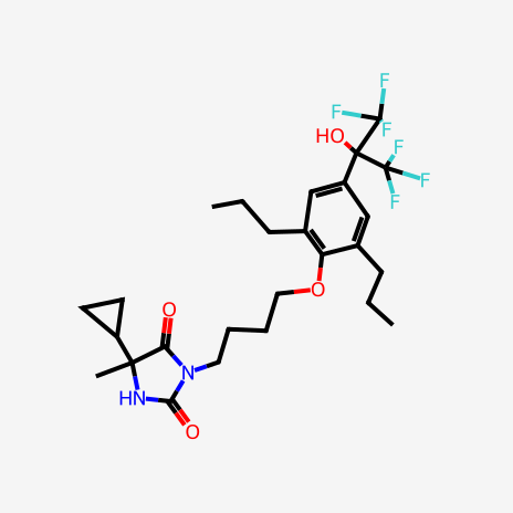 CCCc1cc(C(O)(C(F)(F)F)C(F)(F)F)cc(CCC)c1OCCCCN1C(=O)NC(C)(C2CC2)C1=O